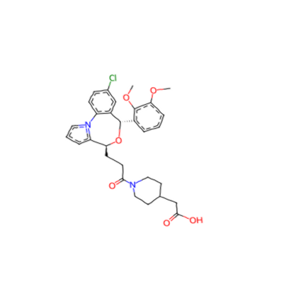 COc1cccc([C@@H]2O[C@@H](CCC(=O)N3CCC(CC(=O)O)CC3)c3cccn3-c3ccc(Cl)cc32)c1OC